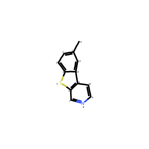 Cc1ccc2sc3cnccc3c2c1